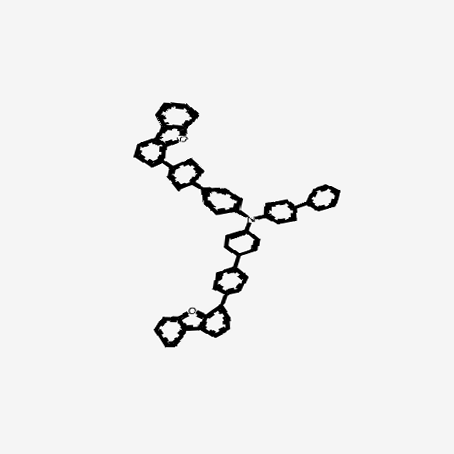 C1=CC(c2ccc(-c3cccc4c3oc3ccccc34)cc2)CC=C1N(c1ccc(-c2ccccc2)cc1)c1ccc(-c2ccc(-c3cccc4c3oc3ccccc34)cc2)cc1